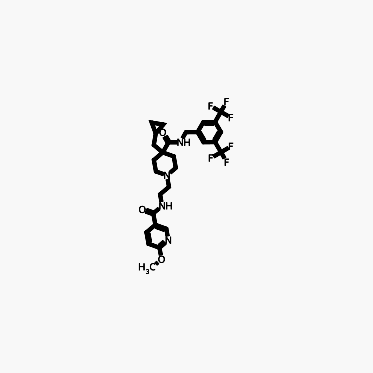 COc1ccc(C(=O)NCCN2CCC(CC3CC3)(C(=O)NCc3cc(C(F)(F)F)cc(C(F)(F)F)c3)CC2)cn1